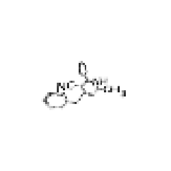 Cc1cc(Cc2ccccc2)c(C#N)c(=O)[nH]1